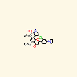 COc1cc(OC)c2c(=O)cc(-c3ccc(N4CCCC4)cc3Cl)oc2c1[C@H]1CCN(C)[C@@H]1CO